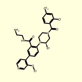 CCOc1cnccc1-c1ccc(N2CCN(C(=O)c3ccc(C(F)(F)F)cc3Cl)C[C@H]2CC)c(C(=O)NCCN)c1